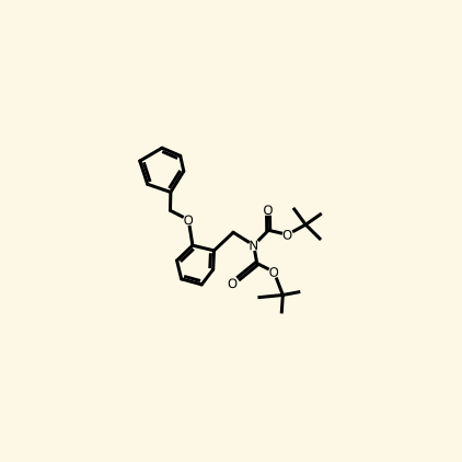 CC(C)(C)OC(=O)N(Cc1ccccc1OCc1ccccc1)C(=O)OC(C)(C)C